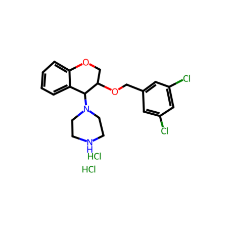 Cl.Cl.Clc1cc(Cl)cc(COC2COc3ccccc3C2N2CCNCC2)c1